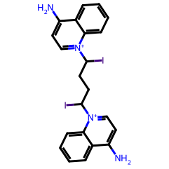 Nc1cc[n+](C(I)CCC(I)[n+]2ccc(N)c3ccccc32)c2ccccc12